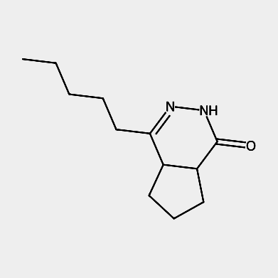 CCCCCC1=NNC(=O)C2CCCC12